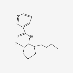 CCCCC1CCCC(Cl)C1NC(=O)c1cccnc1